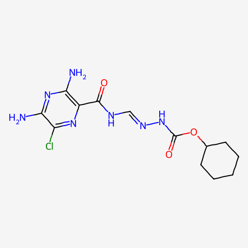 Nc1nc(N)c(C(=O)NC=NNC(=O)OC2CCCCC2)nc1Cl